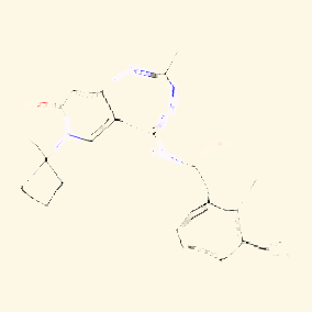 Cc1nc(N[C@H](O)c2cccc(C(F)(F)F)c2C)c2cn(C3(C)CCC3)c(=O)cc2n1